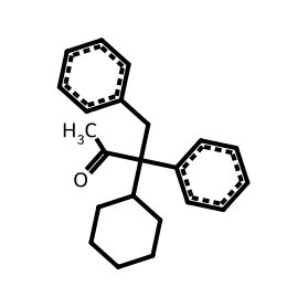 CC(=O)C(Cc1ccccc1)(c1ccccc1)C1CCCCC1